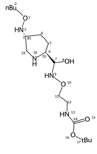 CCCCON[C@@H]1CC[C@@H](C(O)NOCCNC(=O)OC(C)(C)C)NC1